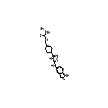 CC(C)NC(=O)OCC1=CC=C(c2nnc(Nc3ccc4[nH]ncc4c3)[nH]2)CC1